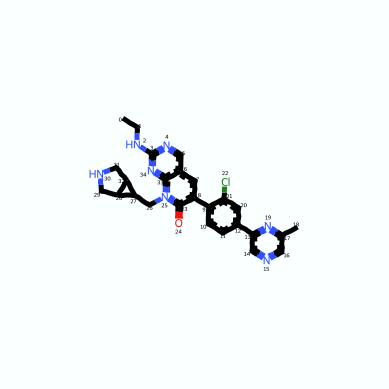 CCNc1ncc2cc(-c3ccc(-c4cncc(C)n4)cc3Cl)c(=O)n(CC3C4CNCC43)c2n1